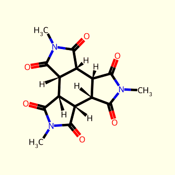 CN1C(=O)[C@H]2[C@H]3C(=O)N(C)C(=O)[C@H]3[C@H]3C(=O)N(C)C(=O)[C@H]3[C@H]2C1=O